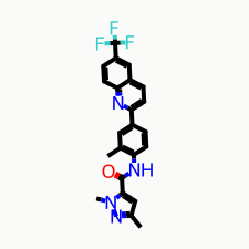 Cc1cc(C(=O)Nc2ccc(-c3ccc4cc(C(F)(F)F)ccc4n3)cc2C)n(C)n1